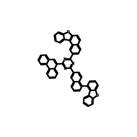 c1cc(-c2cccc3oc4ccccc4c23)c2ccc(-c3nc(-c4ccc5ccc6oc7ccccc7c6c5c4)nc(-c4cc5ccccc5c5ccccc45)n3)cc2c1